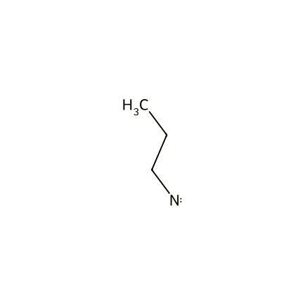 CCC[N]